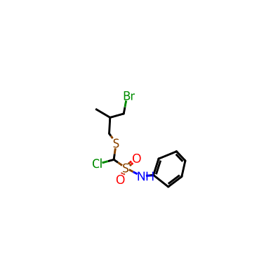 CC(CBr)CSC(Cl)S(=O)(=O)Nc1ccccc1